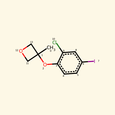 CC1(Oc2ccc(I)cc2Cl)COC1